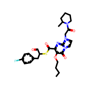 CCCCOc1c(C(=O)SC(C=O)Cc2ccc(F)cc2)nc2n(CC(=O)N3CCCCC3C)ccn2c1=O